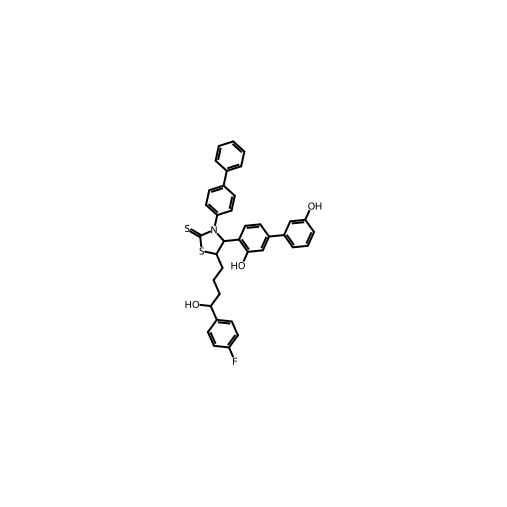 Oc1cccc(-c2ccc(C3C(CCCC(O)c4ccc(F)cc4)SC(=S)N3c3ccc(-c4ccccc4)cc3)c(O)c2)c1